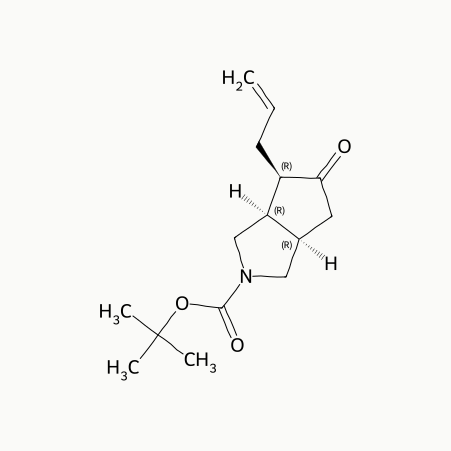 C=CC[C@H]1C(=O)C[C@H]2CN(C(=O)OC(C)(C)C)C[C@H]21